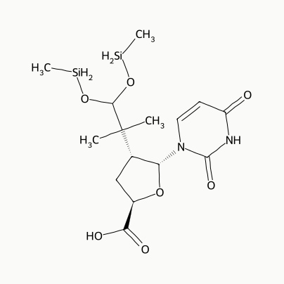 C[SiH2]OC(O[SiH2]C)C(C)(C)[C@H]1C[C@H](C(=O)O)O[C@H]1n1ccc(=O)[nH]c1=O